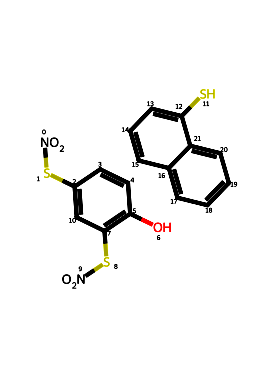 O=[N+]([O-])Sc1ccc(O)c(S[N+](=O)[O-])c1.Sc1cccc2ccccc12